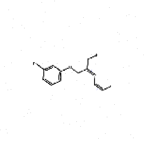 C/C=C\C=C(\CF)COc1cccc(C(C)C)c1